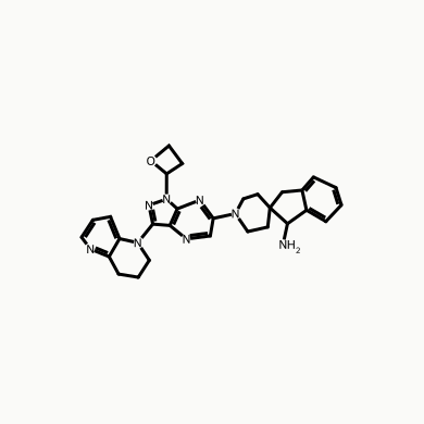 NC1c2ccccc2CC12CCN(c1cnc3c(N4CCCc5ncccc54)nn(C4CCO4)c3n1)CC2